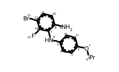 CC(C)Oc1ccc(Nc2c(N)ccc(Br)c2F)cc1